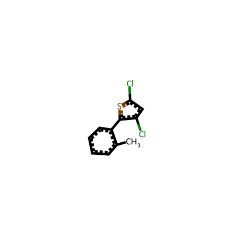 Cc1ccccc1-c1sc(Cl)cc1Cl